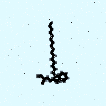 CCCCCCCCCCCCCCCCn1c(SCC(=O)O)nc2ccccc21